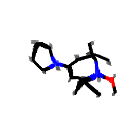 CON1C(C)(C)C=C(N2CCCC2)CC1(C)C